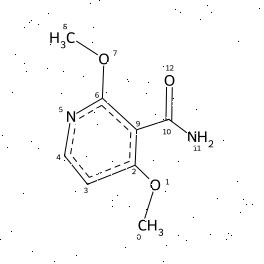 COc1ccnc(OC)c1C(N)=O